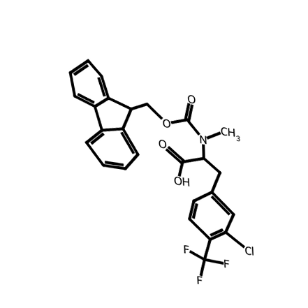 CN(C(=O)OCC1c2ccccc2-c2ccccc21)C(Cc1ccc(C(F)(F)F)c(Cl)c1)C(=O)O